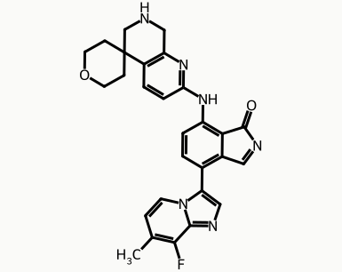 Cc1ccn2c(-c3ccc(Nc4ccc5c(n4)CNCC54CCOCC4)c4c3C=NC4=O)cnc2c1F